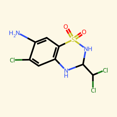 Nc1cc2c(cc1Cl)NC(C(Cl)Cl)NS2(=O)=O